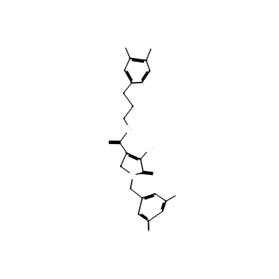 Cc1cc(Cl)cc(CN2CC(C(=O)NCCCc3ccc(Cl)c(Cl)c3)=C(O)C2=O)c1